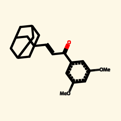 COc1cc(OC)cc(C(=O)C=CC23CC4CC(CC(C4)C2)C3)c1